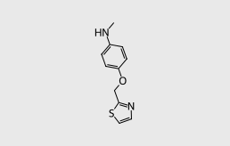 CNc1ccc(OCc2nccs2)cc1